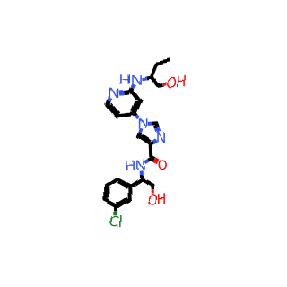 CCC(CO)Nc1cc(-n2cnc(C(=O)NC(CO)c3cccc(Cl)c3)c2)ccn1